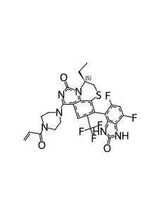 C=CC(=O)N1CCN(c2nc(=O)n3c4c(c(-c5c(F)cc(F)c6[nH]c(=O)[nH]c56)c(C(F)(F)F)cc24)SC[C@@H]3CC)CC1